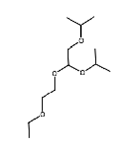 CCOCCOC(COC(C)C)OC(C)C